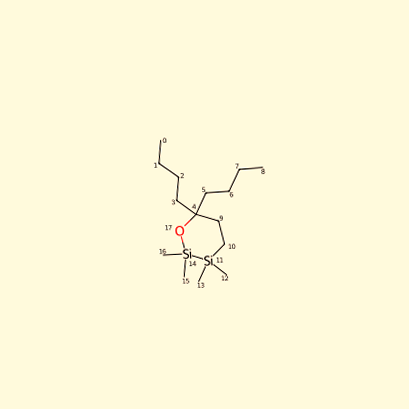 CCCCC1(CCCC)CC[Si](C)(C)[Si](C)(C)O1